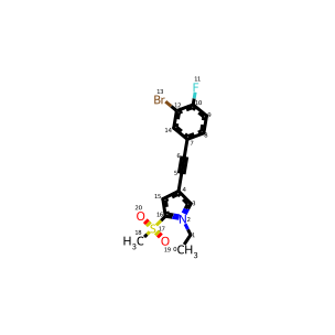 CCn1cc(C#Cc2ccc(F)c(Br)c2)cc1S(C)(=O)=O